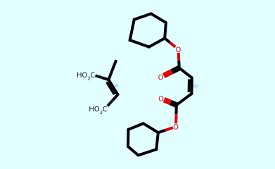 C/C(=C/C(=O)O)C(=O)O.O=C(/C=C\C(=O)OC1CCCCC1)OC1CCCCC1